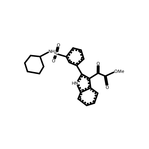 COC(=O)C(=O)c1c(-c2cccc(S(=O)(=O)NC3CCCCC3)c2)[nH]c2ccccc12